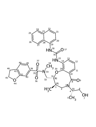 C[C@@H]1CN([C@@H](C)CO)C(=O)c2cccc(NC(=O)Nc3cccc4ccccc34)c2O[C@H]1CN(C)S(=O)(=O)c1ccc2c(c1)OCC2